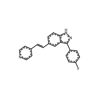 Fc1ccc(-c2n[nH]c3ccc(C=Cc4ccncc4)cc23)cc1